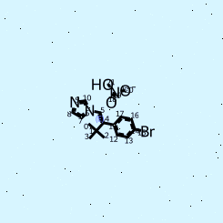 CC(C)(C)/C(=C\n1ccnc1)c1ccc(Br)cc1.O=[N+]([O-])O